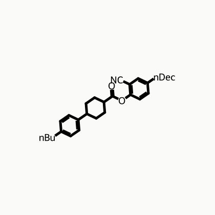 CCCCCCCCCCc1ccc(OC(=O)C2CCC(c3ccc(CCCC)cc3)CC2)c(C#N)c1